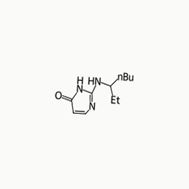 CCCCC(CC)Nc1nccc(=O)[nH]1